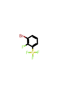 Fc1c(Br)cccc1S(F)(F)F